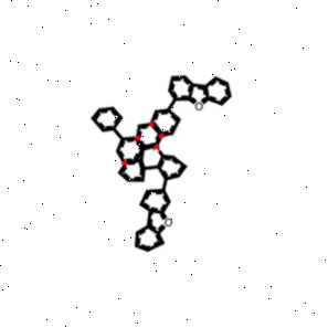 c1ccc(-c2cccc(N(c3ccc(-c4cccc5c4oc4ccccc45)cc3)c3cccc(-c4ccc5c(c4)oc4ccccc45)c3-c3ccccc3-c3ccccc3)c2)cc1